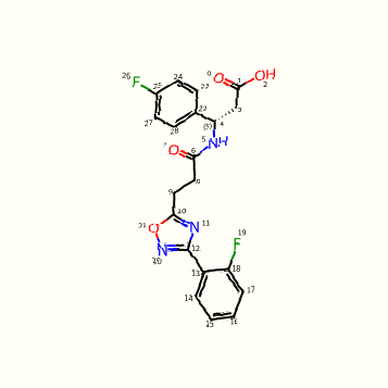 O=C(O)C[C@H](NC(=O)CCc1nc(-c2ccccc2F)no1)c1ccc(F)cc1